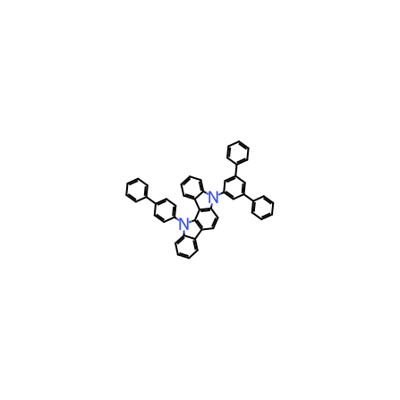 c1ccc(-c2ccc(-n3c4ccccc4c4ccc5c(c6ccccc6n5-c5cc(-c6ccccc6)cc(-c6ccccc6)c5)c43)cc2)cc1